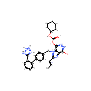 CC/C=C/c1nc2c(O)nnc(OC(=O)OC3CCCCC3)c2n1Cc1ccc(-c2ccccc2-c2nnn[nH]2)cc1